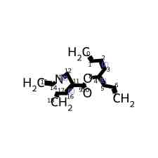 C=C/C=C\C(=C/C=C)OC(=O)C(/C=N\C=C)=C/C=C